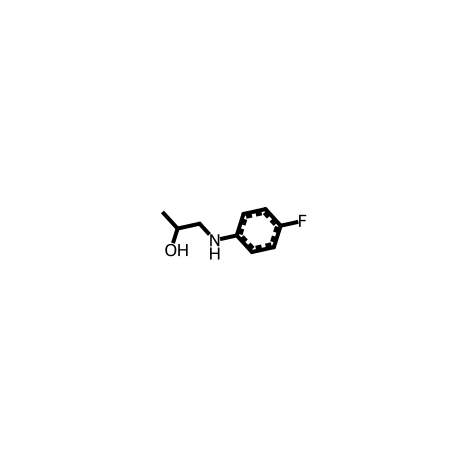 CC(O)CNc1ccc(F)cc1